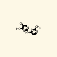 Cc1nccc(Nc2ncc(Cl)c(O)n2)n1